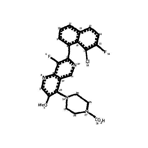 COc1cnc2c(F)c(-c3cccc4ccc(F)c(Cl)c34)ncc2c1N1CCN(C(=O)O)CC1